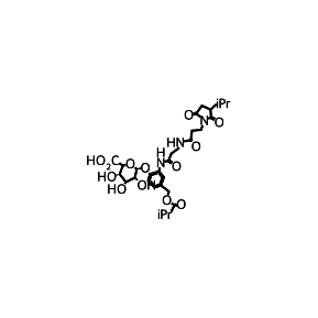 CC(C)C(=O)OCc1ccc(O[C@@H]2OC(C(=O)O)[C@@H](O)C(O)[C@@H]2O)c(NC(=O)CCNC(=O)CCN2C(=O)CC(C(C)C)C2=O)c1